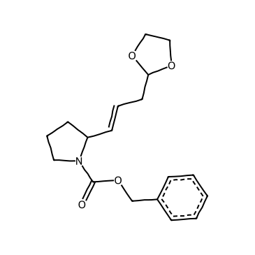 O=C(OCc1ccccc1)N1CCCC1/C=C/CC1OCCO1